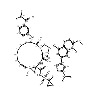 COc1ccc2c(O[C@@H]3C[C@H]4C(=O)N[C@]5(C(=O)NS(=O)(=O)C6(C)CC6)C[C@H]5/C=C\CCCCC[C@H](Nc5cccc(C(=O)N(C)C)c5)C(=O)N4C3)cc(-c3nc(C(C)C)cs3)nc2c1C